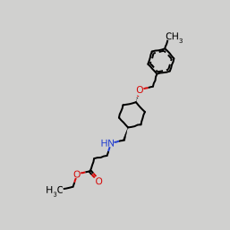 CCOC(=O)CCNC[C@H]1CC[C@H](OCc2ccc(C)cc2)CC1